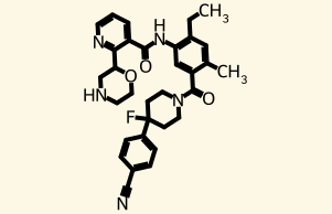 CCc1cc(C)c(C(=O)N2CCC(F)(c3ccc(C#N)cc3)CC2)cc1NC(=O)c1cccnc1C1CNCCO1